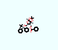 CC1(C)O[C@H]2O[C@H](CO[Si](c3ccccc3)(c3ccccc3)C(C)(C)C)[C@@H](COC(=O)c3ccccc3)[C@H]2O1